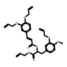 C=CCOC(=O)C(Cc1ccc(OC)c(OCC=C)c1)OC(=O)/C=C/c1ccc(OCC=C)c(OCC=C)c1